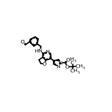 CC(C)(C)OC(=O)n1cc(-c2cnc(NCc3cccc(C=O)c3)c3c2OCC3)cn1